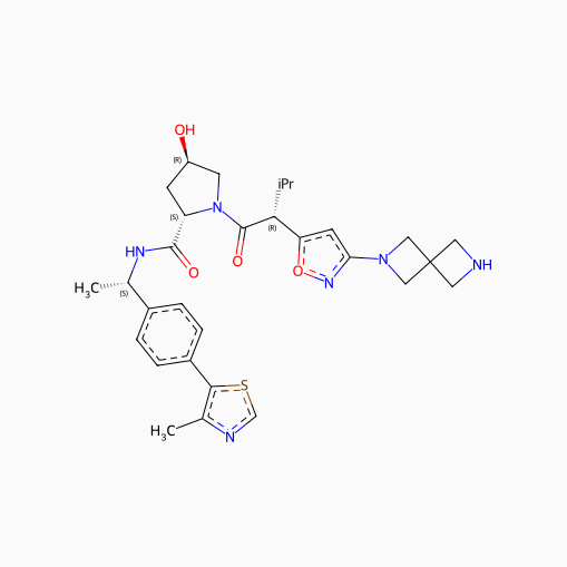 Cc1ncsc1-c1ccc([C@H](C)NC(=O)[C@@H]2C[C@@H](O)CN2C(=O)[C@@H](c2cc(N3CC4(CNC4)C3)no2)C(C)C)cc1